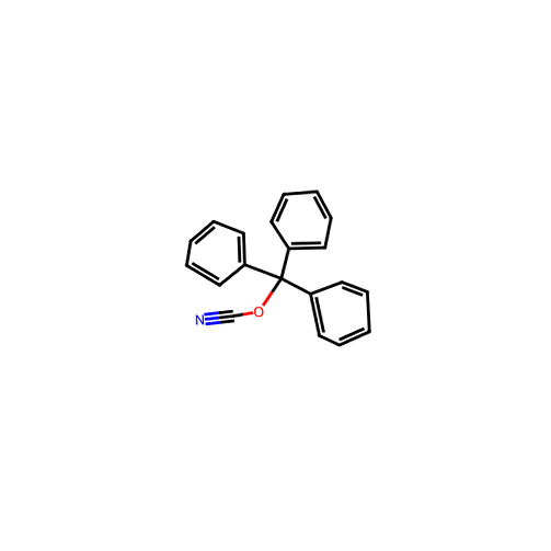 N#COC(c1ccccc1)(c1ccccc1)c1ccccc1